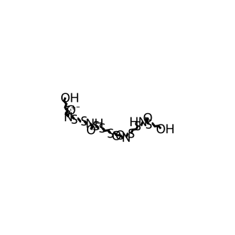 O=C(NCSCCSC/N=C\OOCSCCSCSC(=O)NCSCCSC/N=C\[S+]([O-])CCCO)SCCCO